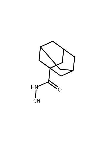 N#CNC(=O)C12CC3CC(CC(C3)C1)C2